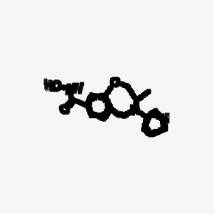 CC1COc2cc(C(=O)NO)ccc2CN1c1cccnc1